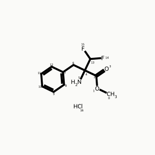 COC(=O)C(N)(Cc1ccccc1)C(F)F.Cl